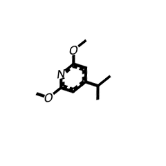 COc1cc(C(C)C)cc(OC)n1